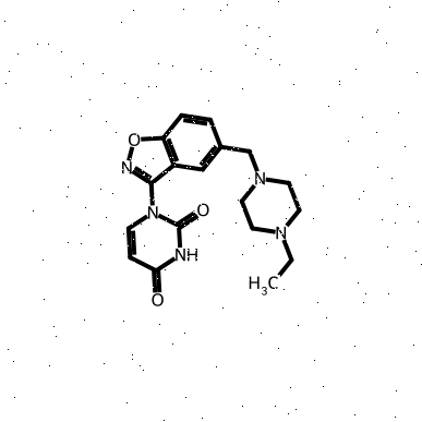 CCN1CCN(Cc2ccc3onc(-n4ccc(=O)[nH]c4=O)c3c2)CC1